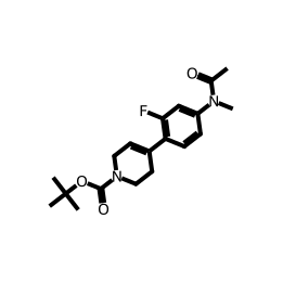 CC(=O)N(C)c1ccc(C2=CCN(C(=O)OC(C)(C)C)CC2)c(F)c1